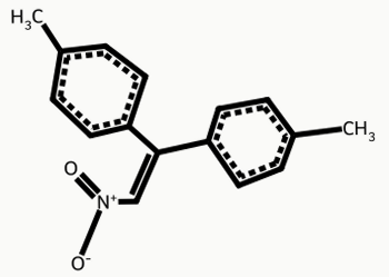 Cc1ccc(C(=C[N+](=O)[O-])c2ccc(C)cc2)cc1